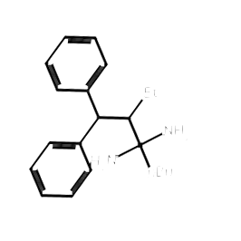 CCCCC(N)(N)C(CC)C(c1ccccc1)c1ccccc1